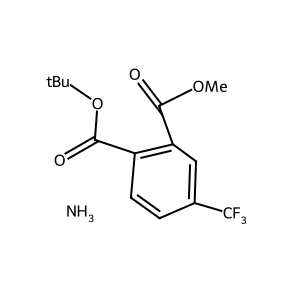 COC(=O)c1cc(C(F)(F)F)ccc1C(=O)OC(C)(C)C.N